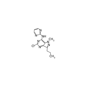 CCCc1nn(C)c2c(Nc3ncccn3)nc(Cl)nc12